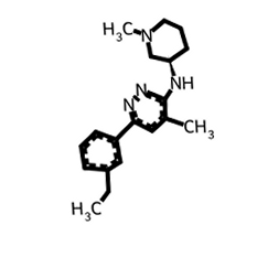 CCc1cccc(-c2cc(C)c(N[C@@H]3CCCN(C)C3)nn2)c1